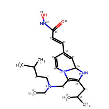 CCN(CCC(C)C)CC1=C(CC(C)C)NC2C=C(/C=C/C(=O)NO)C=CN12